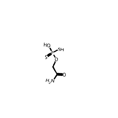 NC(=O)COP(O)(=S)S